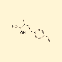 C=Cc1ccc(COC(C)C(O)O)cc1